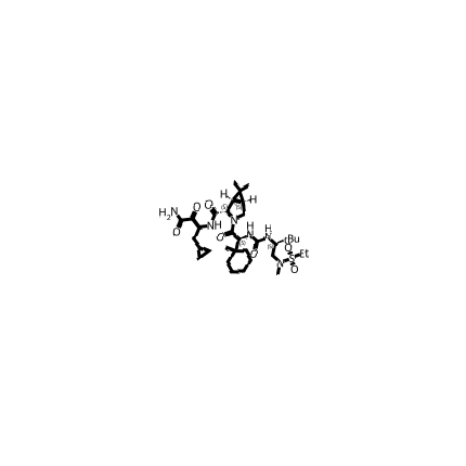 CCS(=O)(=O)N(C)C[C@@H](NC(=O)N[C@H](C(=O)N1C[C@H]2[C@@H]([C@H]1C(=O)NC(CC1CC1)C(=O)C(N)=O)C2(C)C)C1(C)CCCCC1)C(C)(C)C